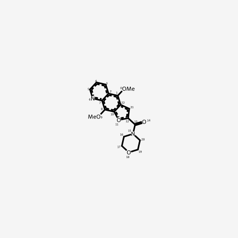 COc1c2cccnc2c(OC)c2oc(C(=O)N3CCOCC3)cc12